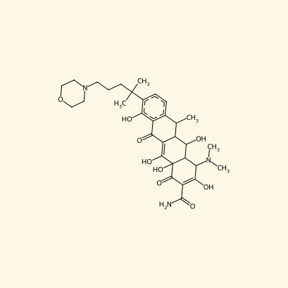 CC1c2ccc(C(C)(C)CCCN3CCOCC3)c(O)c2C(=O)C2=C(O)C3(O)C(=O)C(C(N)=O)=C(O)C(N(C)C)C3C(O)C21